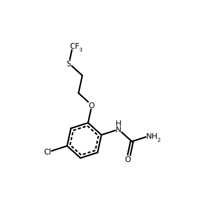 NC(=O)Nc1ccc(Cl)cc1OCCSC(F)(F)F